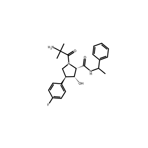 CC(NC(=O)[C@@H]1[C@H](O)[C@@H](c2ccc(F)cc2)CN1C(=O)C(C)(C)N)c1ccccc1